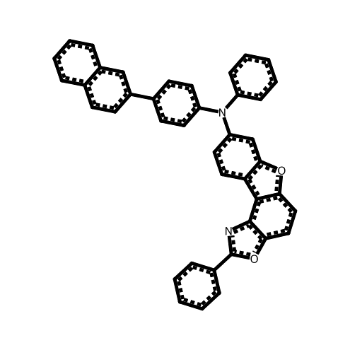 c1ccc(-c2nc3c(ccc4oc5cc(N(c6ccccc6)c6ccc(-c7ccc8ccccc8c7)cc6)ccc5c43)o2)cc1